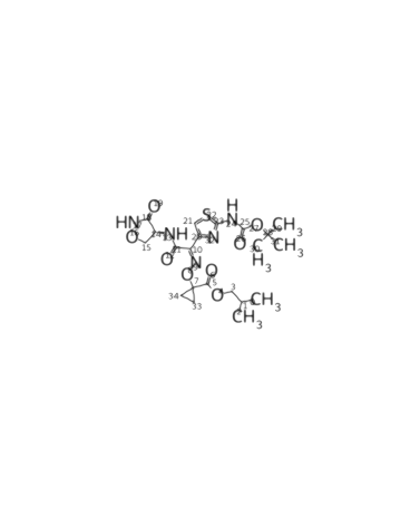 CC(C)COC(=O)C1(O/N=C(\C(=O)N[C@H]2CONC2=O)c2csc(NC(=O)OC(C)(C)C)n2)CC1